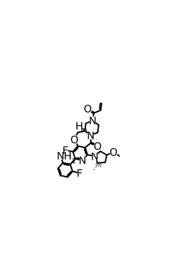 C=CC(=O)N1CCN2C(=O)c3c(N4CC(OC)C[C@@H]4C)nc(-c4c(N)cccc4F)c(F)c3OC[C@H]2C1